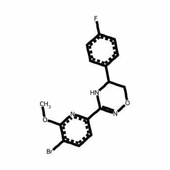 COc1nc(C2=NOCC(c3ccc(F)cc3)N2)ccc1Br